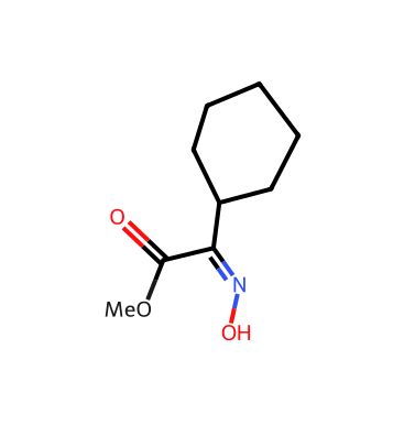 COC(=O)C(=NO)C1CCCCC1